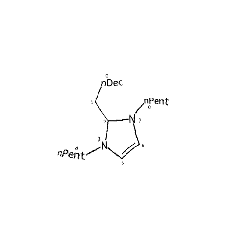 CCCCCCCCCCCC1N(CCCCC)C=CN1CCCCC